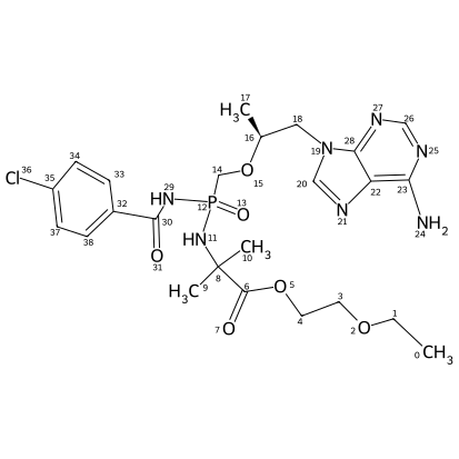 CCOCCOC(=O)C(C)(C)NP(=O)(CO[C@@H](C)Cn1cnc2c(N)ncnc21)NC(=O)c1ccc(Cl)cc1